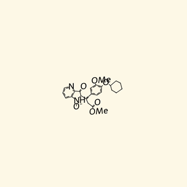 COC(=O)CC(c1ccc(OC2CCCCC2)c(OC)c1)C1C(=O)c2ncccc2[NH+]1[O-]